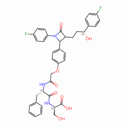 O=C(COc1ccc(C2C(CC[C@@H](O)c3ccc(F)cc3)C(=O)N2c2ccc(F)cc2)cc1)N[C@@H](Cc1ccccc1)C(=O)N[C@H](CO)C(=O)O